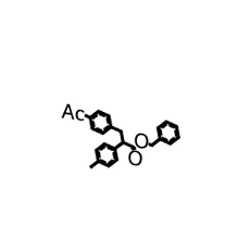 CC(=O)c1ccc(CC(C(=O)OCc2ccccc2)c2ccc(C)cc2)cc1